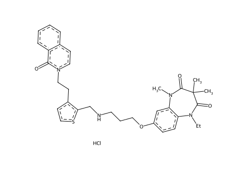 CCN1C(=O)C(C)(C)C(=O)N(C)c2cc(OCCCNCc3sccc3CCn3ccc4ccccc4c3=O)ccc21.Cl